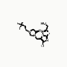 O=C1CN(CCC(F)(F)F)CN1Cc1c(Cl)nc2sc(CO)nn12